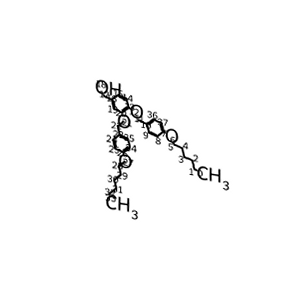 CCCCCCOc1ccc(COc2ccc(CO)cc2OCc2ccc(OCCCCCC)cc2)cc1